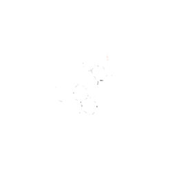 Bc1ccc2c(c1)C(C)(C)c1c(C)c(/C=C\C)c3ccccc3c1-2